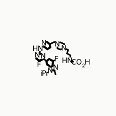 Cc1nc2c(F)cc(-c3nc(Nc4ccc(CN5CCN(CCCNC(=O)O)CC5)cn4)ncc3F)cc2n1C(C)C